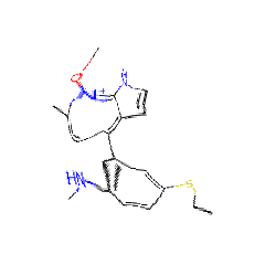 CCSc1ccc(NC)c(-c2cc(C)[n+](OC)c3[nH]ccc23)c1